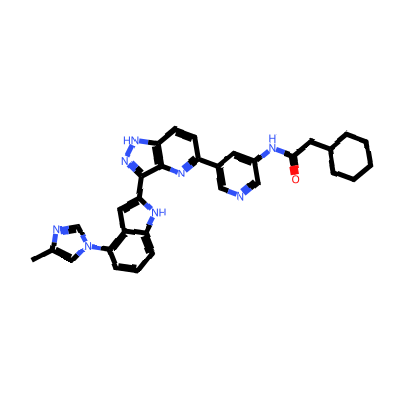 Cc1cn(-c2cccc3[nH]c(-c4n[nH]c5ccc(-c6cncc(NC(=O)CC7CCCCC7)c6)nc45)cc23)cn1